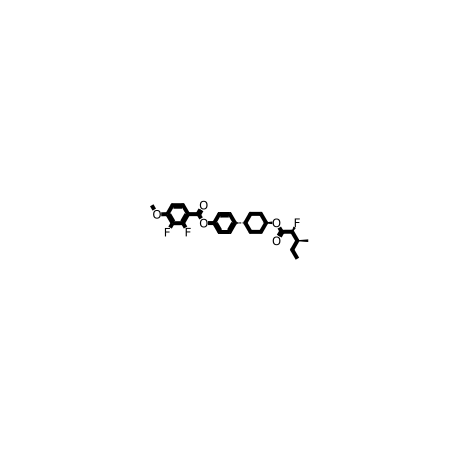 CC[C@H](C)[C@H](F)C(=O)O[C@H]1CC[C@H](c2ccc(OC(=O)c3ccc(OC)c(F)c3F)cc2)CC1